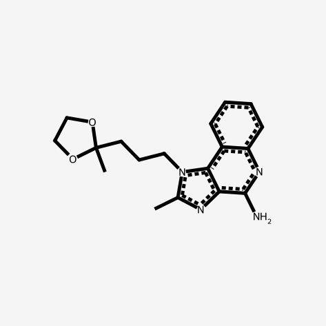 Cc1nc2c(N)nc3ccccc3c2n1CCCC1(C)OCCO1